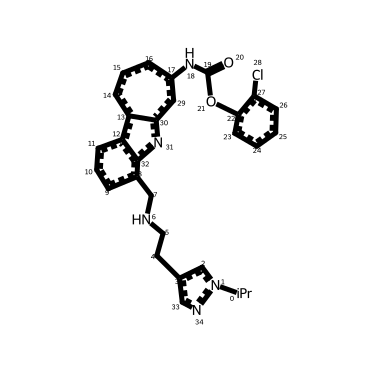 CC(C)n1cc(CCNCc2cccc3c4cccc(NC(=O)Oc5ccccc5Cl)cc-4nc23)cn1